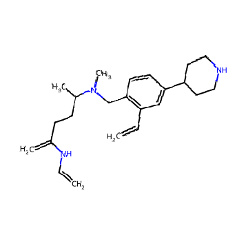 C=CNC(=C)CCC(C)N(C)Cc1ccc(C2CCNCC2)cc1C=C